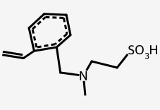 C=Cc1ccccc1CN(C)CCS(=O)(=O)O